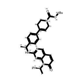 CC(C)[C@H](C)n1c(=O)ccc2cnc(N[C@@H](C)c3ccc(C4=CCN(C(=O)OC(C)(C)C)CC4)cc3)nc21